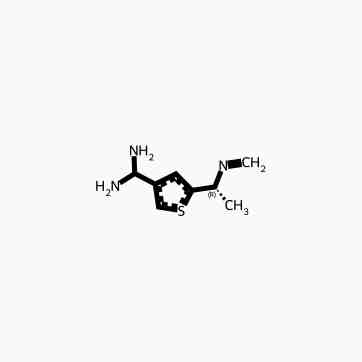 C=N[C@H](C)c1cc(C(N)N)cs1